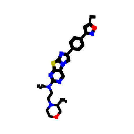 C[C@H]1COCCN1CCN(C)c1ncc2c(n1)sc1nc(-c3ccc(-c4cc(C(C)(C)C)on4)cc3)cn12